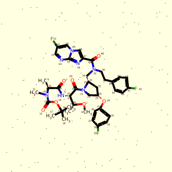 CO[C@H](C)[C@H](NC(=O)[C@H](C)N(C)C(=O)OC(C)(C)C)C(=O)N1C[C@@H](Oc2ccc(F)cc2)C[C@H]1CN(CCc1ccc(F)cc1)C(=O)c1cn2cc(F)cnc2n1